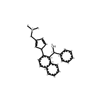 CN(C)CC1=CC(c2ccc3ccccc3c2C(O)c2ccccc2)C=C1